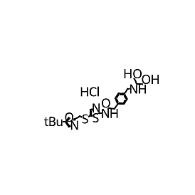 CC(C)(C)c1cnc(CSc2cnc(NC(=O)Cc3ccc(CNC(CO)CO)cc3)s2)o1.Cl